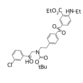 CCNc1ccc(S(=O)(=O)c2ccc(CCN(C[C@@H](O)c3cccc(Cl)c3)C(=O)OC(C)(C)C)cc2)cc1C(=O)OCC